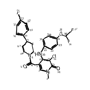 Cn1cc(C(=O)N2CCC(c3ccc(F)cc3)CC2)c(Nc2ccc(OC(F)F)cc2)c(Cl)c1=O